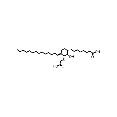 CCCCCCCCCCCCC/C=C1\CC[C@H](CCCCCCCC(=O)O)[C@@H](O)[C@@H]1SCC(=O)O